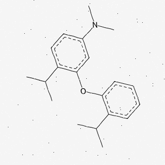 CC(C)c1ccccc1Oc1cc(N(C)C)ccc1C(C)C